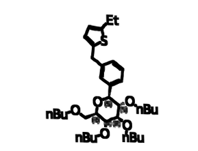 CCCCOC[C@H]1O[C@@H](c2cccc(Cc3ccc(CC)s3)c2)[C@H](OCCCC)[C@@H](OCCCC)[C@@H]1OCCCC